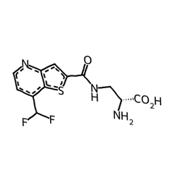 N[C@H](CNC(=O)c1cc2nccc(C(F)F)c2s1)C(=O)O